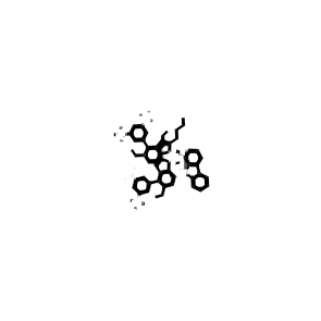 CCCCC1=Cc2c(ccc(CC)c2-c2cc([Si](C)(C)C)cc([Si](C)(C)C)c2)[CH]1[Zr]([Cl])([Cl])([c]1cccc2c1[SiH2]c1ccccc1-2)[CH]1C(CCCC)=Cc2c1ccc(CC)c2-c1cc([Si](C)(C)C)cc([Si](C)(C)C)c1